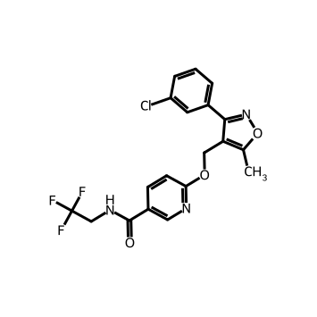 Cc1onc(-c2cccc(Cl)c2)c1COc1ccc(C(=O)NCC(F)(F)F)cn1